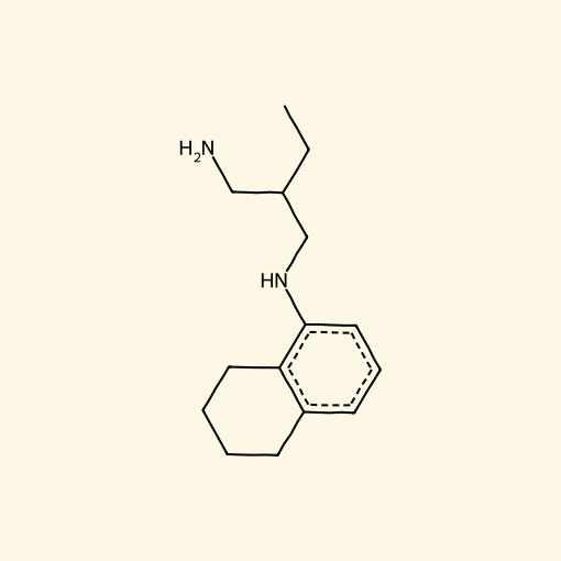 CCC(CN)CNc1cccc2c1CCCC2